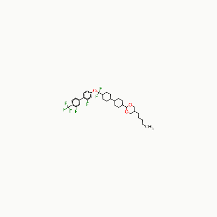 CCCCCC1COC(C2CCC(C3CCC(C(F)(F)Oc4ccc(-c5ccc(C(F)(F)F)c(F)c5)c(F)c4)CC3)CC2)OC1